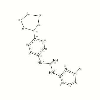 Cc1ccnc(NC(=N)Nc2ccc(C3CCCCC3)cc2)n1